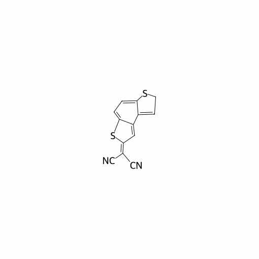 N#CC(C#N)=c1cc2c3c(ccc2s1)SCC=3